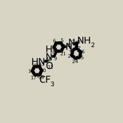 Nc1nn(-c2cccc(CNC(=O)Nc3cccc(C(F)(F)F)c3)c2)c2ccccc12